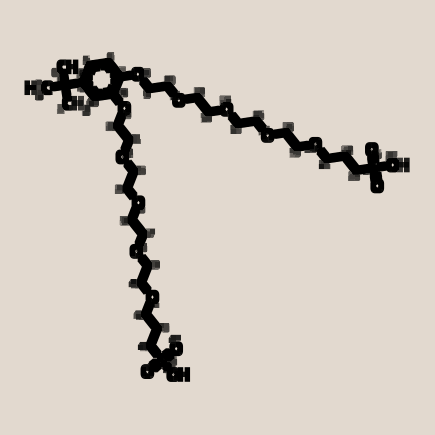 CC(C)(C)c1ccc(OCCOCCOCCOCCOCCCS(=O)(=O)O)c(OCCOCCOCCOCCOCCCS(=O)(=O)O)c1